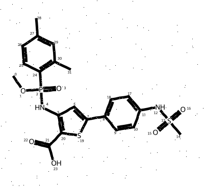 COP(=O)(Nc1cc(-c2ccc(NS(C)(=O)=O)cc2)sc1C(=O)O)c1ccc(C)cc1C